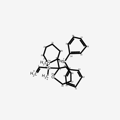 C=C[Si](C)(C)C1(C2([SiH](c3ccccc3)c3ccccc3)CCCCO2)CCCCO1